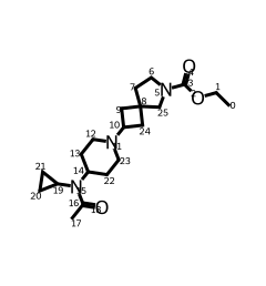 CCOC(=O)N1CCC2(CC(N3CCC(N(C(C)=O)C4CC4)CC3)C2)C1